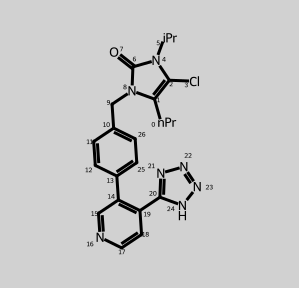 CCCc1c(Cl)n(C(C)C)c(=O)n1Cc1ccc(-c2cnccc2-c2nnn[nH]2)cc1